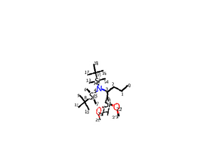 CCCC(N([Si](C)(C)C(C)(C)C)[Si](C)(C)C(C)(C)C)[SiH](OC)OC